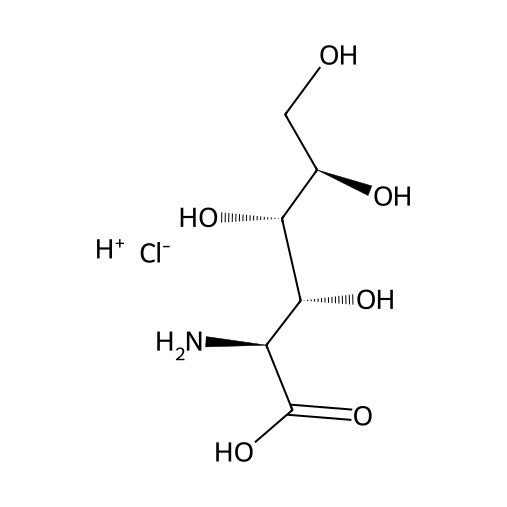 N[C@H](C(=O)O)[C@@H](O)[C@H](O)[C@H](O)CO.[Cl-].[H+]